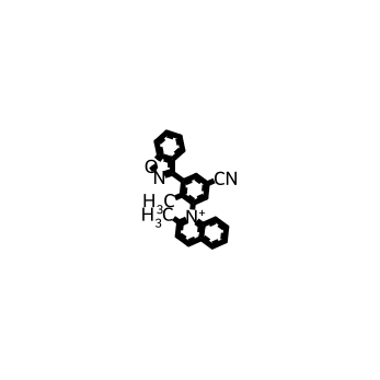 Cc1c(-c2noc3ccccc23)cc(C#N)cc1-[n+]1c(C)ccc2ccccc21